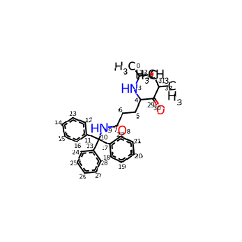 CC(C)NC(CCC(=O)NC(c1ccccc1)(c1ccccc1)c1ccccc1)C(=O)C(C)C